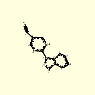 N#Cc1cnc(-n2nnc3ccccc32)nc1